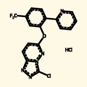 Cl.FC(F)(F)c1ccc(-c2ccccn2)c(Oc2ccc3nnc(Cl)n3n2)c1